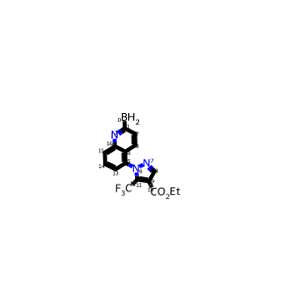 Bc1ccc2c(-n3ncc(C(=O)OCC)c3C(F)(F)F)cccc2n1